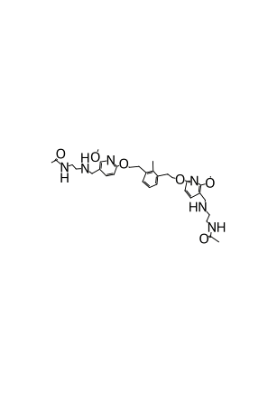 COc1nc(OCCc2cccc(CCOc3ccc(CNCCNC(C)=O)c(OC)n3)c2C)ccc1CNCCNC(C)=O